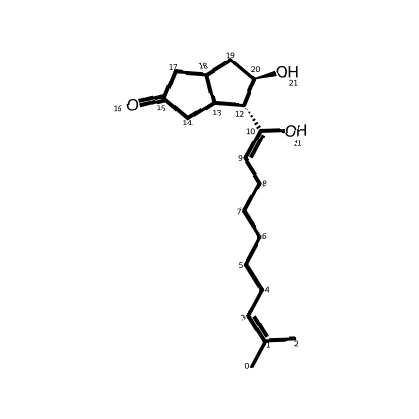 CC(C)=CCCCCCC=C(O)[C@@H]1C2CC(=O)CC2C[C@H]1O